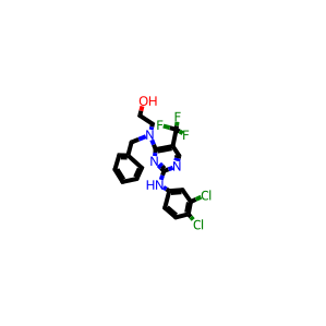 OCCN(Cc1ccccc1)c1nc(Nc2ccc(Cl)c(Cl)c2)ncc1C(F)(F)F